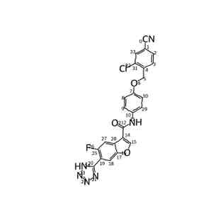 N#Cc1ccc(COc2ccc(NC(=O)c3coc4cc(-c5nnn[nH]5)c(F)cc34)cc2)c(Cl)c1